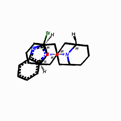 Brc1nc2ccccc2n1[C@H]1CC2CCC[C@@H](C1)N2[C@H]1C[C@@H]2CCC[C@@H](C2)C1